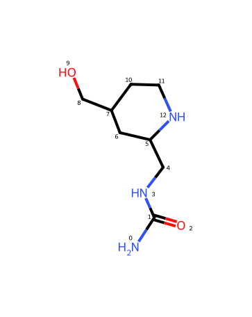 NC(=O)NCC1CC(CO)CCN1